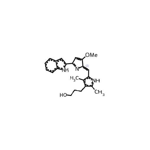 COC1=CC(c2cc3ccccc3[nH]2)=N/C1=C\c1[nH]c(C)c(CCCO)c1C